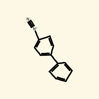 N#[N+]c1ccc(-c2ccccc2)cc1